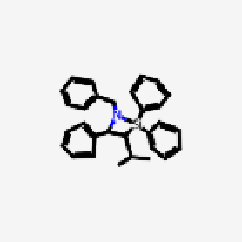 CC(C)C1C(c2ccccc2)N(Cc2ccccc2)[Si]1(c1ccccc1)c1ccccc1